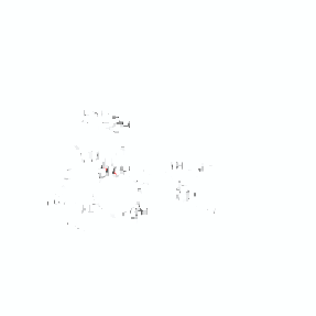 CC(C)OC[C@@H](O)[C@@H](O)[C@@H]1OC(=O)C(O)(CC(=O)OCCOCCOCCO)CC(=O)OC[C@H](O)[C@@H](O)[C@@H]2OC(=O)C(O)(CC(=O)OC[C@@H]1O)CC(=O)O[C@H]1[C@@H]3OC(=O)C(O)(CC(=O)OC[C@@H](O)[C@@H](O)[C@@H]([C@@H](O)COC(C)(C)C)OC(=O)CC(O)(CC(=O)OC[C@H]2O)C(=O)OC[C@@H]1O)CC(=O)OC[C@H](O)[C@H]([C@H](OC(C)(C)C)[C@@H](C)O)OC(=O)C(O)(CC(=O)OCCOCCOCCO)CC(=O)OC[C@H]3O